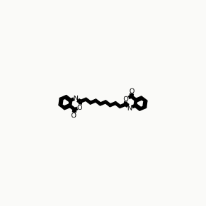 O=c1oc(CCCCCCCCc2nc3ccccc3c(=O)o2)nc2ccccc12